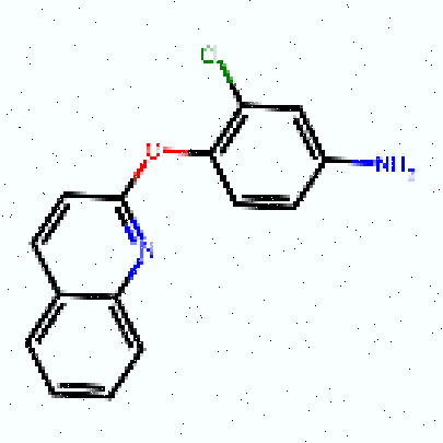 Nc1ccc(Oc2ccc3ccccc3n2)c(Cl)c1